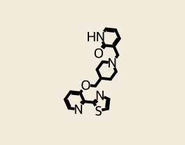 O=c1[nH]cccc1CN1CCC(COc2cccnc2-c2nccs2)CC1